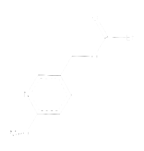 CCC(=O)OCc1ccc(OC)nc1